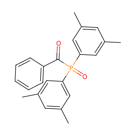 Cc1cc(C)cc(P(=O)(C(=O)c2ccccc2)c2cc(C)cc(C)c2)c1